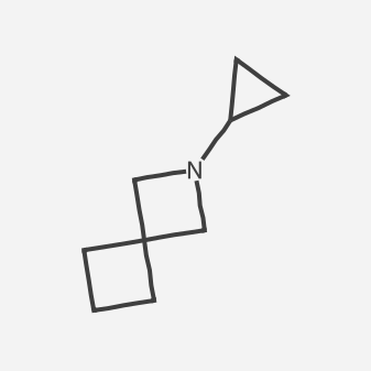 C1CC2(C1)CN(C1CC1)C2